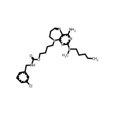 CCCCCN(C)c1nc(N)c2c(n1)N(CCCCOC(=O)NCc1cccc(Cl)c1)CCC=N2